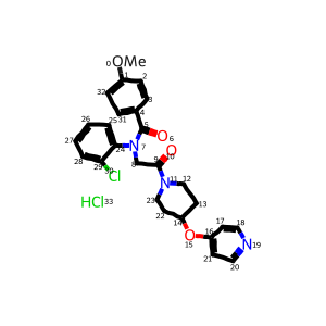 COc1ccc(C(=O)N(CC(=O)N2CCC(Oc3ccncc3)CC2)c2ccccc2Cl)cc1.Cl